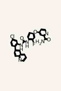 NC(=O)c1cc(Oc2ccc(NC(=O)Nc3cc(Cl)ccc3-c3ccc4ncccc4c3)c(F)c2)ccn1